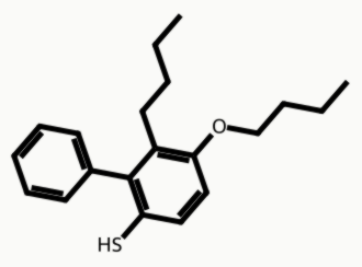 CCCCOc1ccc(S)c(-c2ccccc2)c1CCCC